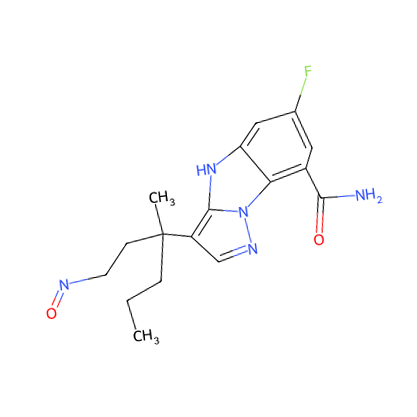 CCCC(C)(CCN=O)c1cnn2c1[nH]c1cc(F)cc(C(N)=O)c12